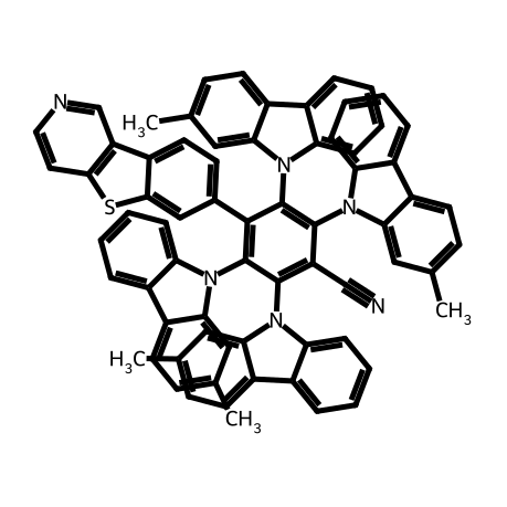 Cc1ccc2c3ccccc3n(-c3c(C#N)c(-n4c5ccccc5c5ccc(C)cc54)c(-n4c5ccccc5c5ccc(C)cc54)c(-c4ccc5c(c4)sc4ccncc45)c3-n3c4ccccc4c4ccc(C)cc43)c2c1